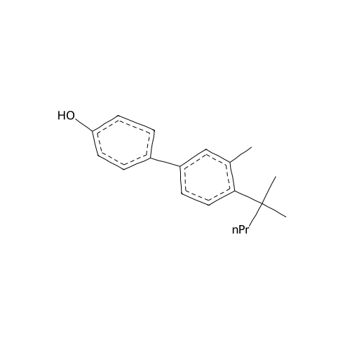 CCCC(C)(C)c1ccc(-c2ccc(O)cc2)cc1C